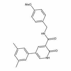 COc1ccc(CNC(=O)c2cc(-c3cc(C)cc(C)c3)c[nH]c2=O)cc1